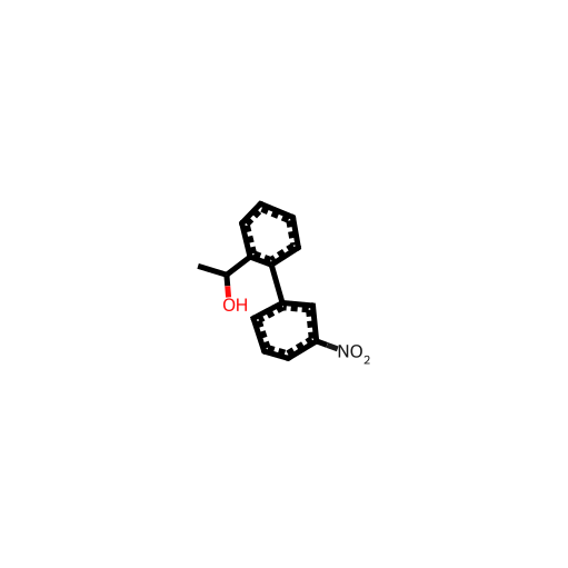 CC(O)c1ccccc1-c1cccc([N+](=O)[O-])c1